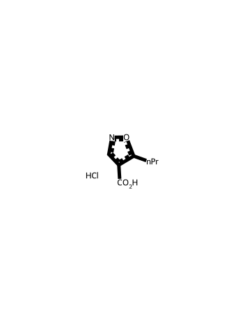 CCCc1oncc1C(=O)O.Cl